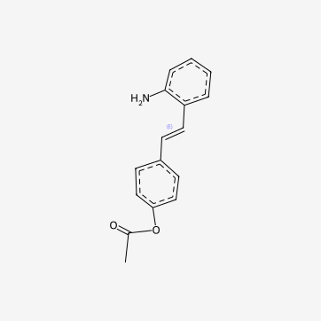 CC(=O)Oc1ccc(/C=C/c2ccccc2N)cc1